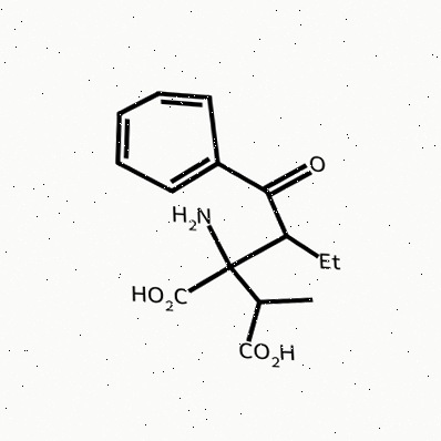 CCC(C(=O)c1ccccc1)C(N)(C(=O)O)C(C)C(=O)O